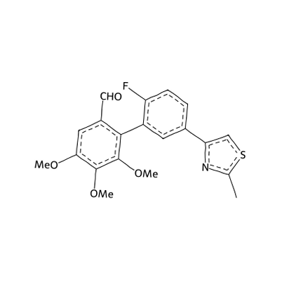 COc1cc(C=O)c(-c2cc(-c3csc(C)n3)ccc2F)c(OC)c1OC